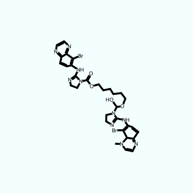 CN1C=CN=C2C=CC(NC3=NCCN3C(O)OCCCCCCOC(=O)N3CCN=C3Nc3ccc4nccnc4c3Br)=C(Br)C21